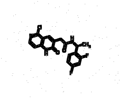 C[C@H](NC(=O)Cc1cc2c(Cl)nccc2[nH]c1=O)c1ccc(F)cc1F